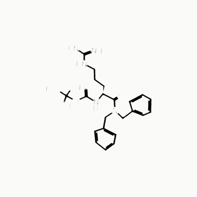 CC(C)(C)OC(=O)N[C@@H](CCCNC(=N)N)C(=O)N(Cc1ccccc1)Cc1ccccc1